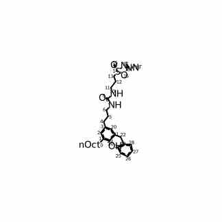 CCCCCCCCc1cc(CCCNC(=O)NCCCS(=O)(=O)N=[N+]=[N-])cc(Cc2ccccc2)c1O